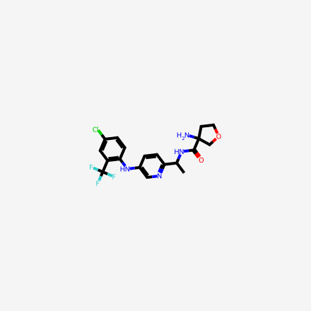 CC(NC(=O)C1(N)CCOC1)c1ccc(Nc2ccc(Cl)cc2C(F)(F)F)cn1